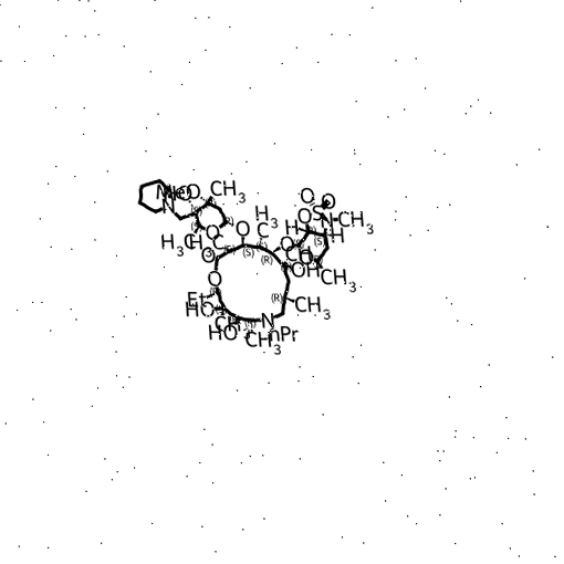 CCCN1C[C@H](C)C[C@@](C)(O)[C@H](O[C@@H]2O[C@H](C)C[C@H]3[C@H]2OS(=O)(=O)N3C)[C@@H](C)[C@H](O[C@H]2C[C@@](C)(OC)[C@](O)(CN3CCCCC3)[C@H](C)O2)[C@@H](C)C(=O)O[C@H](CC)[C@@](C)(O)[C@H](O)[C@H]1C